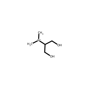 C[N+](C)C(CO)CO